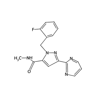 CNC(=O)c1cc(-c2ncccn2)nn1Cc1ccccc1F